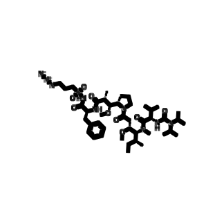 CC[C@H](C)[C@@H]([C@@H](CC(=O)N1CCC[C@H]1[C@H](OC)[C@@H](C)C(=O)N[C@@H](Cc1ccccc1)C(=O)NS(=O)(=O)CCCN=[N+]=[N-])OC)N(C)C(=O)[C@@H](NC(=O)N(C(C)C)C(C)C)C(C)C